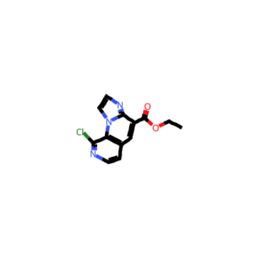 CCOC(=O)c1cc2ccnc(Cl)c2n2ccnc12